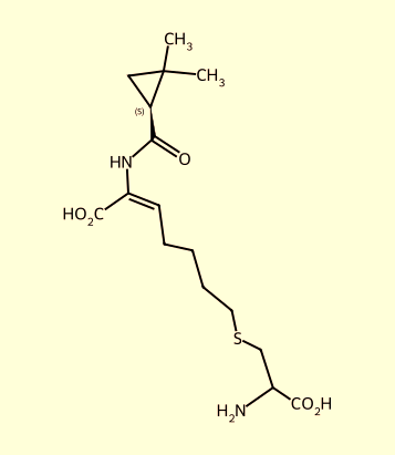 CC1(C)C[C@@H]1C(=O)NC(=CCCCCSCC(N)C(=O)O)C(=O)O